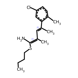 CCCCS/C(N)=C(C)/C=C(\C)c1cc(Cl)ccc1C